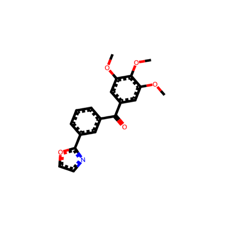 COc1cc(C(=O)c2cccc(-c3ncco3)c2)cc(OC)c1OC